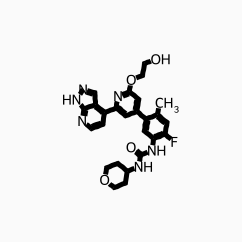 Cc1cc(F)c(NC(=O)NC2CCOCC2)cc1-c1cc(OCCO)nc(-c2ccnc3[nH]ncc23)c1